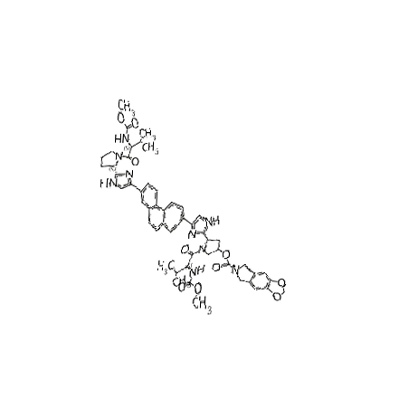 COC(=O)N[C@H](C(=O)N1CC(OC(=O)N2Cc3cc4c(cc3C2)OCO4)CC1c1nc(-c2ccc3c(ccc4cc(-c5c[nH]c([C@@H]6CCCN6C(=O)[C@@H](NC(=O)OC)C(C)C)n5)ccc43)c2)c[nH]1)C(C)C